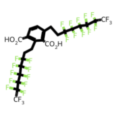 O=C(O)c1ccc(CCC(F)(F)C(F)(F)C(F)(F)C(F)(F)C(F)(F)C(F)(F)F)c(C(=O)O)c1CCC(F)(F)C(F)(F)C(F)(F)C(F)(F)C(F)(F)C(F)(F)F